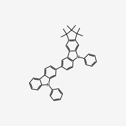 CC1(C)c2cc3c4cc(-c5ccc6c7ccccc7n(-c7ccccc7)c6c5)ccc4n(-c4ccccc4)c3cc2C(C)(C)C1(C)C